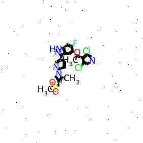 C[C@@H]1[C@@H](CS(C)(=O)=O)CN1c1ccc(-c2n[nH]c3cc(F)c(O[C@H](C)c4c(Cl)cncc4Cl)cc23)cn1